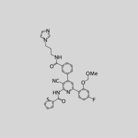 COCOc1cc(F)ccc1-c1cc(-c2cccc(C(=O)NCCCn3ccnc3)c2)c(C#N)c(NC(=O)c2cccs2)n1